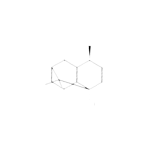 C[C@H]1CC[C@@]2(O)C(C)(C)C3CC[C@@]2(C)C1C3